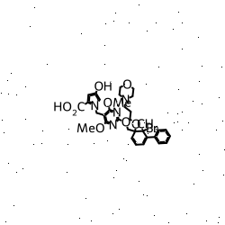 COc1nc(OCC2(OCCCN3CCOCC3)C=CC=C(c3ccccc3)[C@@]2(C)Br)nc(OC)c1Cn1cc(O)cc1C(=O)O